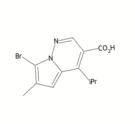 Cc1cc2c(C(C)C)c(C(=O)O)cnn2c1Br